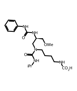 COC[C@@H](CN(CCCCNC(=O)O)C(=O)NC(C)C)NC(=O)Nc1ccccc1